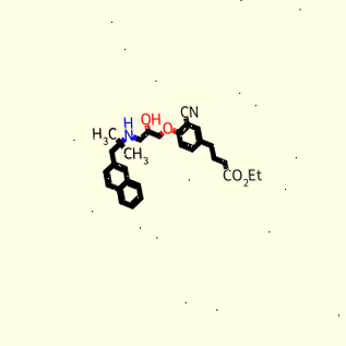 CCOC(=O)CCCc1ccc(OCC(O)CNC(C)(C)Cc2ccc3ccccc3c2)c(C#N)c1